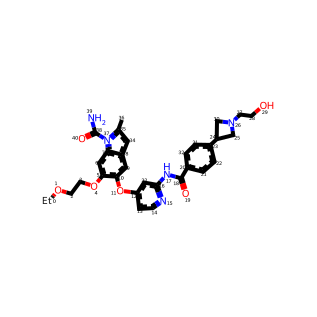 CCOCCOc1cc2c(cc1Oc1ccnc(NC(=O)c3ccc(C4CN(CCO)C4)cc3)c1)cc(C)n2C(N)=O